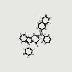 CC1c2c(c3ccccc3n2-c2ccccc2)C=C2C1c1ccccc1N2c1ccc2ccccc2c1